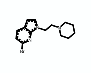 Brc1ccc2ccn(CCN3CCCCC3)c2n1